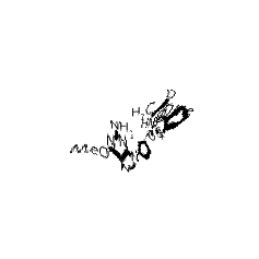 COC(=O)[C@H](C)NP(=O)(OC[C@@H]1C=C[C@H](n2cnc3c(OC)nc(N)nc32)C1)Oc1ccccc1F